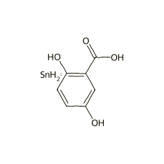 O=C(O)c1cc(O)ccc1O.[SnH2]